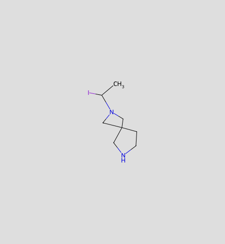 CC(I)N1CC2(CCNC2)C1